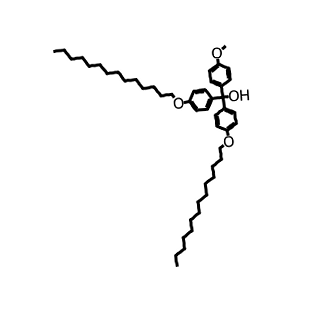 CCCCCCCCCCCCCCOc1ccc(C(O)(c2ccc(OC)cc2)c2ccc(OCCCCCCCCCCCCCC)cc2)cc1